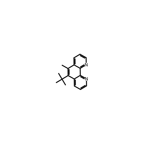 Cc1c(C(C)(C)C)c2cccnc2c2ncccc12